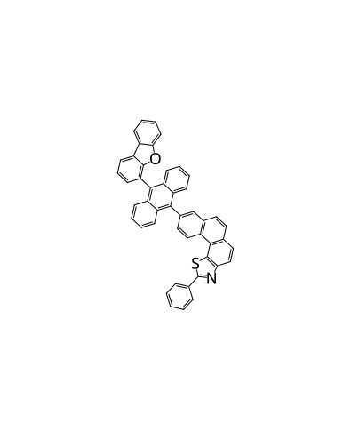 c1ccc(-c2nc3ccc4ccc5cc(-c6c7ccccc7c(-c7cccc8c7oc7ccccc78)c7ccccc67)ccc5c4c3s2)cc1